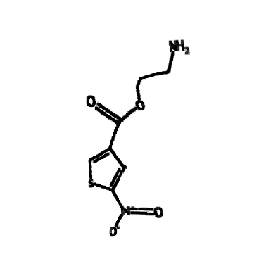 NCCOC(=O)c1csc([N+](=O)[O-])c1